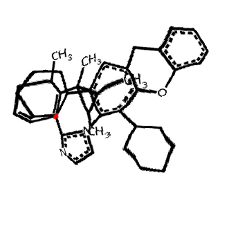 CC1CC=CC(c2nccn2-c2c(C3CCCCC3)cc3c(c2C2CCCCC2)Oc2ccccc2C3)=C1C1(C)C(C)C1C